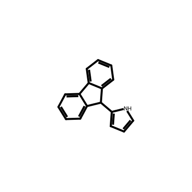 c1c[nH]c(C2c3ccccc3-c3ccccc32)c1